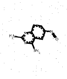 Nc1nc(N)c2cc(N=O)ccc2n1